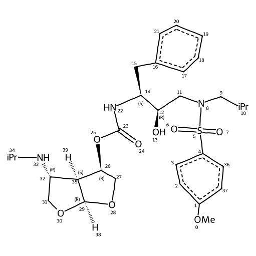 COc1ccc(S(=O)(=O)N(CC(C)C)C[C@@H](O)[C@H](Cc2ccccc2)NC(=O)O[C@H]2CO[C@H]3OC[C@H](NC(C)C)[C@H]32)cc1